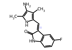 Cc1[nH]c(/C=C2\C(=O)Nc3ccc(F)cc32)c(C)c1N